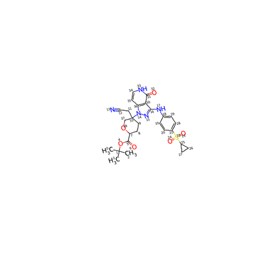 CC(C)(C)OC(=O)C1CCC(CC#N)(n2nc(Nc3ccc(S(=O)(=O)C4CC4)cc3)c3c(=O)[nH]ccc32)CO1